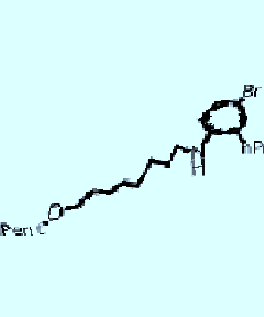 CCCCCOCCCCCCCCNc1ccc(Br)cc1CCC